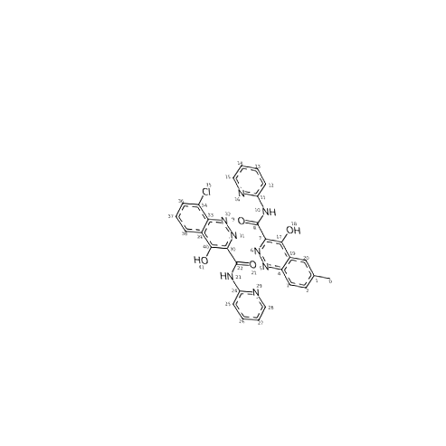 Cc1ccc2nnc(C(=O)Nc3ccccn3)c(O)c2c1.O=C(Nc1ccccn1)c1nnc2c(Cl)cccc2c1O